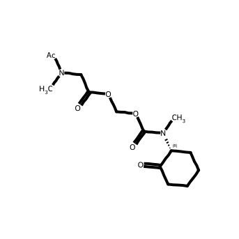 CC(=O)N(C)CC(=O)OCOC(=O)N(C)[C@@H]1CCCCC1=O